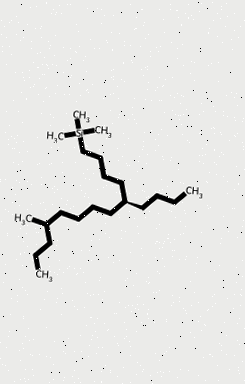 CCCC[C@@H](CCCCC(C)CCC)CCCC[Si](C)(C)C